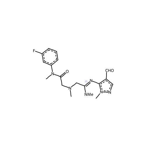 CN/C(CN(C)CC(=O)N(C)c1cccc(F)c1)=N\c1c(C=O)cnn1C